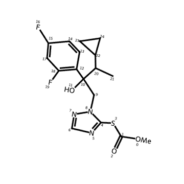 COC(=O)Sc1ncnn1CC(O)(c1ccc(F)cc1F)C(C)C1CC1